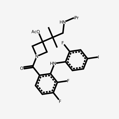 CC(=O)OC1(C(C)(C)CNC(C)C)CN(C(=O)c2ccc(F)c(F)c2Nc2ccc(I)cc2F)C1